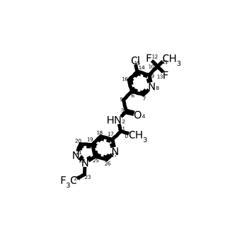 CC(NC(=O)Cc1cnc(C(C)(F)F)c(Cl)c1)c1cc2cnn(CC(F)(F)F)c2cn1